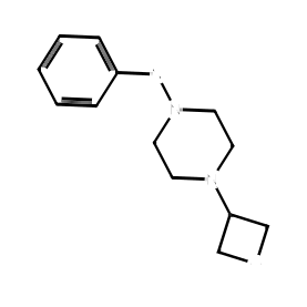 c1ccc(NN2CCN(C3COC3)CC2)cc1